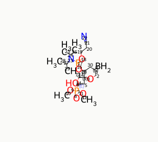 B[C@@H]1CO[C@@](/C=C/P(=O)(OC)OC)(CO)[C@@H](OP(OCCC#N)N(C(C)C)C(C)C)C1